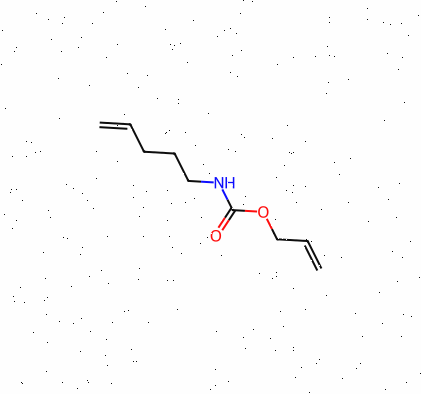 C=CCCCNC(=O)OCC=C